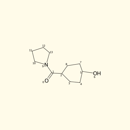 O=C(C1CCC(O)CC1)N1CCCC1